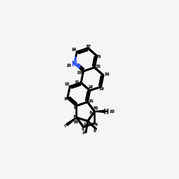 CC1(C)[C@H]2CC[C@]1(C)c1ccc3c(ccc4cccnc43)c12